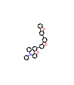 c1ccc(N(c2ccccc2)c2cccc3oc4c(-c5ccc6oc7ccc(-c8ccc9c(c8)oc8ccccc89)cc7c6c5)cccc4c23)cc1